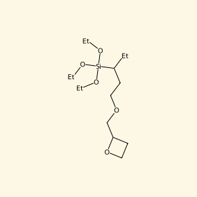 CCO[Si](OCC)(OCC)C(CC)CCOCC1CCO1